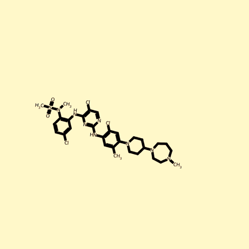 Cc1cc(Nc2ncc(Cl)c(Nc3cc(Cl)ccc3N(C)S(C)(=O)=O)n2)c(Cl)cc1N1CCC(N2CCCN(C)CC2)CC1